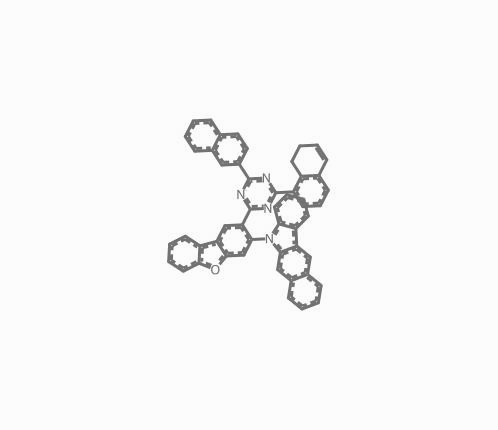 C1=Cc2cccc(-c3nc(-c4ccc5ccccc5c4)nc(-c4cc5c(cc4-n4c6ccccc6c6cc7ccccc7cc64)oc4ccccc45)n3)c2CC1